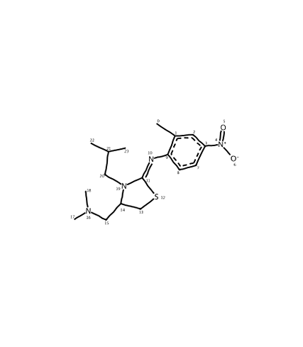 Cc1cc([N+](=O)[O-])ccc1N=C1SCC(CN(C)C)N1CC(C)C